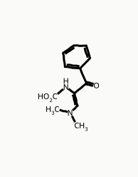 CN(C)C=C(NC(=O)O)C(=O)c1ccccc1